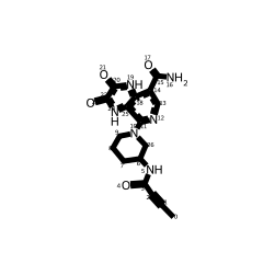 CC#CC(=O)NC1CCCN(c2ncc(C(N)=O)c3[nH]c(=O)c(=O)[nH]c23)C1